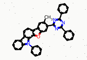 Cc1cc2c(cc1-c1nc(-c3ccccc3)nc(-c3ccccc3)n1)oc1c2ccc2c3ccccc3n(-c3ccccc3)c21